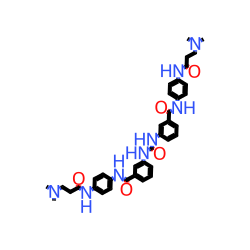 CN(C)CCC(=O)Nc1ccc(NC(=O)c2cccc(NC(=O)Nc3cccc(C(=O)Nc4ccc(NC(=O)CCN(C)C)cc4)c3)c2)cc1